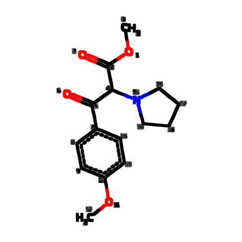 COC(=O)C(C(=O)c1ccc(OC)cc1)N1CCCC1